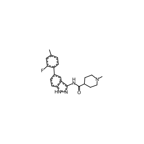 Cc1ccc(-c2ccc3[nH]nc(NC(=O)C4CCN(C)CC4)c3c2)c(F)c1